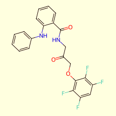 O=C(CNC(=O)c1ccccc1Nc1ccccc1)COc1c(F)c(F)cc(F)c1F